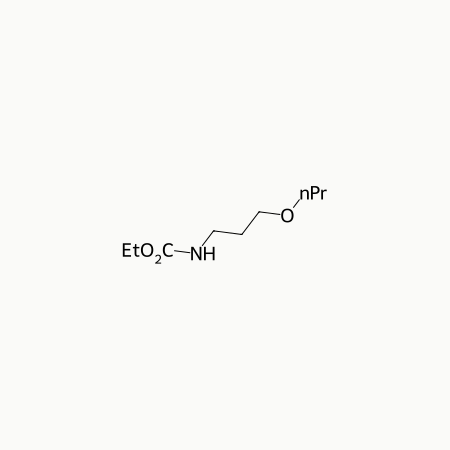 CCCOCCCNC(=O)OCC